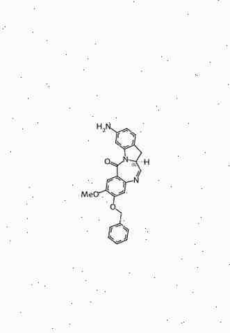 COc1cc2c(cc1OCc1ccccc1)N=C[C@@H]1Cc3ccc(N)cc3N1C2=O